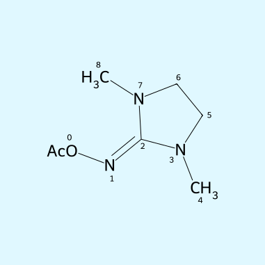 CC(=O)ON=C1N(C)CCN1C